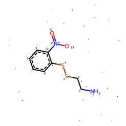 NCCSSc1ccccc1[N+](=O)[O-]